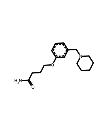 NC(=O)CCCOc1cccc(CN2CCCCC2)c1